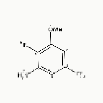 COc1cc(C(F)(F)F)cc(N)c1F